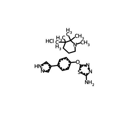 CN1CCCC(C)(C)C1(C)C.Cl.Nc1nnc(Oc2ccc(-c3cn[nH]c3)cc2)s1